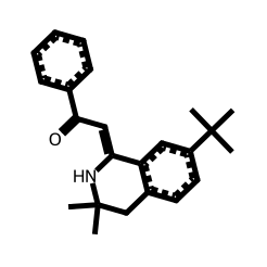 CC1(C)Cc2ccc(C(C)(C)C)cc2C(=CC(=O)c2ccccc2)N1